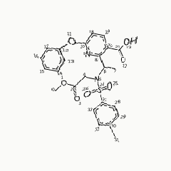 COC(=O)CN(C(C)c1nc(Oc2ccccc2)ccc1C(=O)O)S(=O)(=O)c1ccc(C)cc1